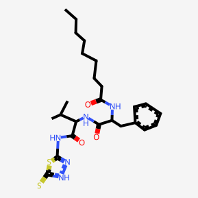 CCCCCCCCC(=O)NC(Cc1ccccc1)C(=O)NC(C(=O)Nc1n[nH]c(=S)s1)C(C)C